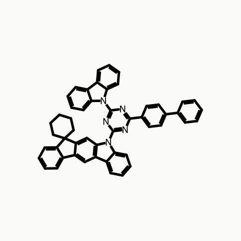 c1ccc(-c2ccc(-c3nc(-n4c5ccccc5c5ccccc54)nc(-n4c5ccccc5c5cc6c(cc54)C4(CCCCC4)c4ccccc4-6)n3)cc2)cc1